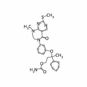 CSc1ncc2c(n1)N(C)CCN(c1cccc(OC(C)(CCOC(N)=O)c3ccccc3)c1)C2=O